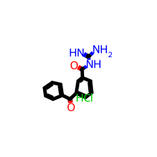 Cl.N=C(N)NC(=O)c1cccc(C(=O)c2ccccc2)c1